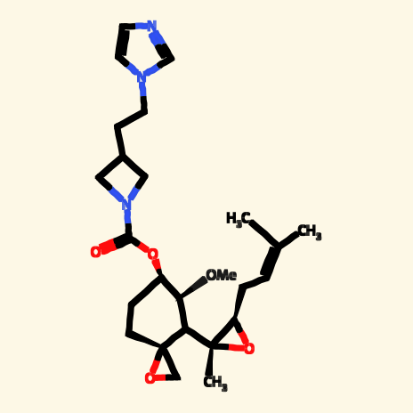 CO[C@H]1C([C@@]2(C)O[C@@H]2CC=C(C)C)[C@]2(CC[C@H]1OC(=O)N1CC(CCn3ccnc3)C1)CO2